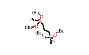 CC(C)[Si](CCC[Si](OC(C)(C)C)(OC(C)(C)C)C(C)C)(OC(C)(C)C)OC(C)(C)C